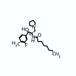 CCCCCCCC(=O)N[C@H](CN1CCCC1)[C@H](O)c1ccc(C)c(F)c1